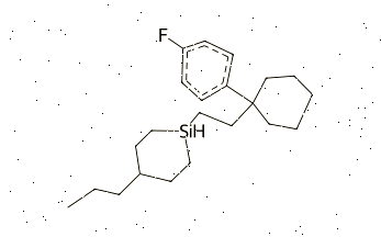 CCCC1CC[SiH](CCC2(c3ccc(F)cc3)CCCCC2)CC1